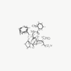 O=C[C@H](CC(=O)O)NC(=O)[N+]1(C(=O)[C@H](Cc2cscn2)NC(=O)c2ccccc2Cl)CCCC1